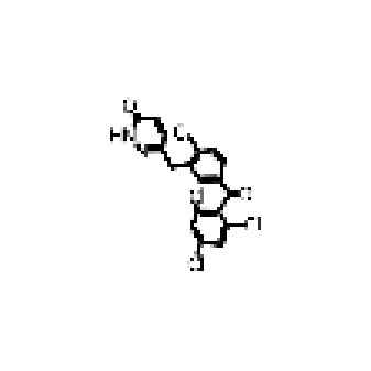 O=C(c1ccc(Cl)c(Cc2ccc(=O)[nH]n2)c1)c1c(Cl)cc(Cl)cc1Cl